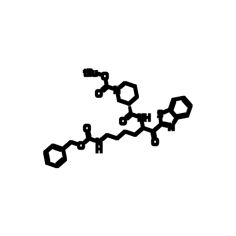 CC(C)(C)OC(=O)N1CCC[C@H](C(=O)NC(CCCCNC(=O)OCc2ccccc2)C(=O)c2nc3ccccc3s2)C1